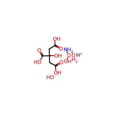 NOO.O.O=C(O)CC(O)(CC(=O)O)C(=O)O.[H+].[OH-]